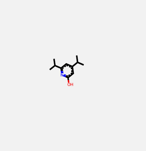 CC(C)c1cc(O)nc(C(C)C)c1